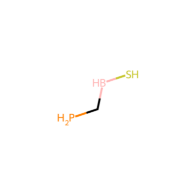 PCBS